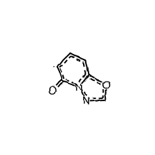 O=c1[c]ccc2ocnn12